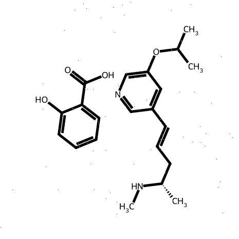 CN[C@@H](C)C/C=C/c1cncc(OC(C)C)c1.O=C(O)c1ccccc1O